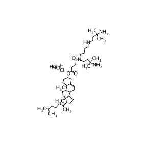 CC(C)CCCC(C)C1CCC2C3CC=C4CC(OC(=O)CCC(=O)N(CCCCNCCC(C)(C)N)CCC(C)(C)N)CCC4(C)C3CCC12C.Cl.Cl.Cl